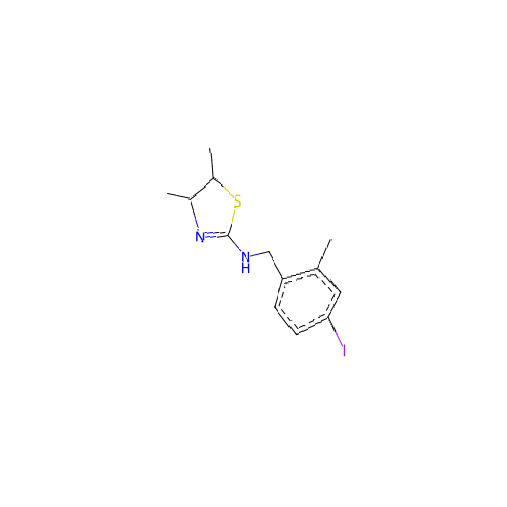 Cc1cc(I)ccc1CNC1=NC(C)C(C)S1